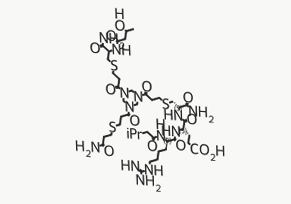 CC(C)CC(=O)N[C@H](CCCCNC(=N)N)C(=O)N[C@@H](CCC(=O)O)C(=O)N[C@H](CSCCC(=O)N1CN(C(=O)CCSCCC(N)=O)CN(C(=O)CCSCC(NC(=O)CC(C)O)C(N)=O)C1)C(N)=O